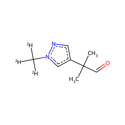 [2H]C([2H])([2H])n1cc(C(C)(C)C=O)cn1